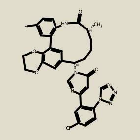 C[C@@H]1CCC[C@H](n2cnc(-c3cc(Cl)ccc3-n3cnnn3)cc2=O)c2cc3c(c(c2)-c2cc(F)ccc2NC1=O)OCCO3